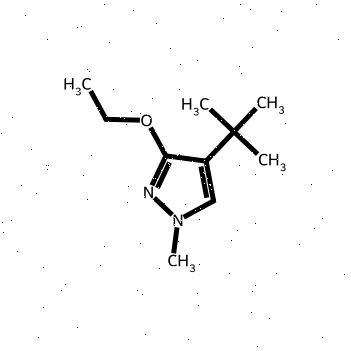 CCOc1nn(C)cc1C(C)(C)C